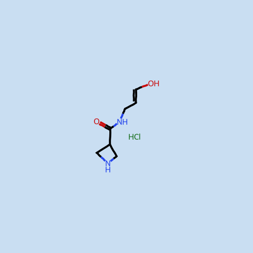 Cl.O=C(NCC=CO)C1CNC1